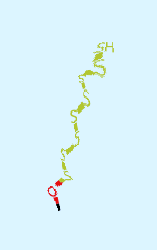 COSSSSSSSS